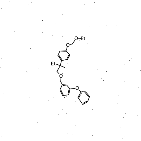 CCOCOc1ccc(C(C)(CC)COCc2cccc(Oc3ccccc3)c2)cc1